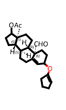 CC(=O)OC1CC[C@H]2[C@@H]3CCC4=CC(OC5=CCCC5)CC[C@]4(C=O)[C@@H]3CC[C@]12C